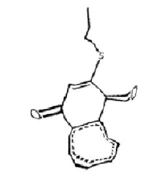 CCSC1=CC(=O)c2ccccc2C1=O